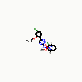 COCOc1cc(Br)ccc1-c1cnc(N[C@@H]2C[C@H]3CCC[C@@H]([C@@H]2F)N3C(=O)OC(C)(C)C)nn1